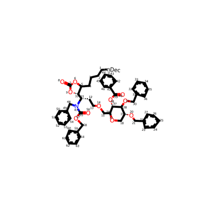 CCCCCCCCCCCCCCC1OC(=O)O[C@H]1[C@H](CCOCC1OC[C@@H](OCc2ccccc2)C(OCc2ccccc2)[C@H]1OC(=O)c1ccccc1)N(Cc1ccccc1)C(=O)OCc1ccccc1